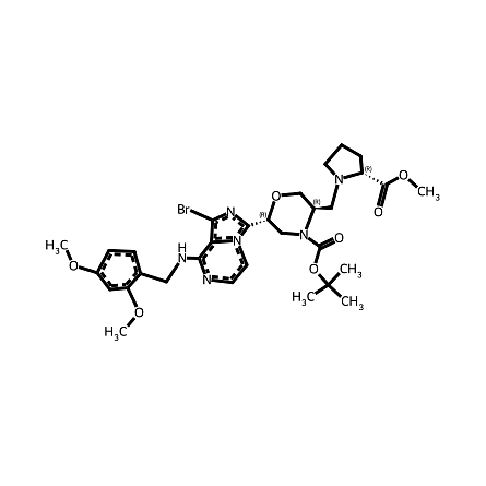 COC(=O)[C@H]1CCCN1C[C@@H]1CO[C@@H](c2nc(Br)c3c(NCc4ccc(OC)cc4OC)nccn23)CN1C(=O)OC(C)(C)C